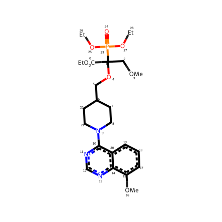 CCOC(=O)C(COC)(OCC1CCN(c2ncnc3c(OC)cccc23)CC1)P(=O)(OCC)OCC